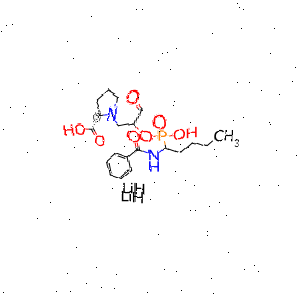 CCCCC(NC(=O)c1ccccc1)P(=O)(O)OC(C=O)CN1CCC[C@H]1C(=O)O.[LiH].[LiH]